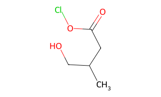 CC(CO)CC(=O)OCl